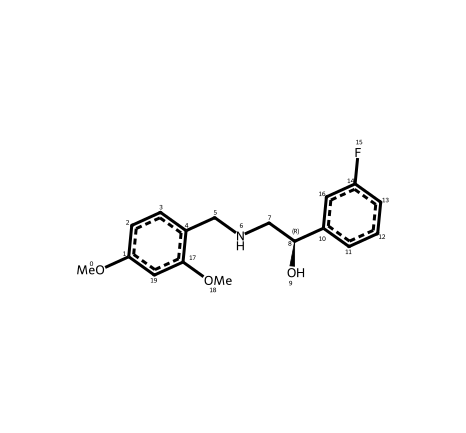 COc1ccc(CNC[C@H](O)c2cccc(F)c2)c(OC)c1